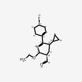 CCOC1N=C(C2=CC[C@H](F)CC2)C(C2CC2)C[C@H]1C=O